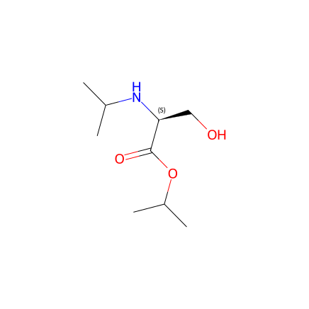 CC(C)N[C@@H](CO)C(=O)OC(C)C